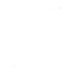 CCOc1ccc(C/C=C/C(=O)O)cc1